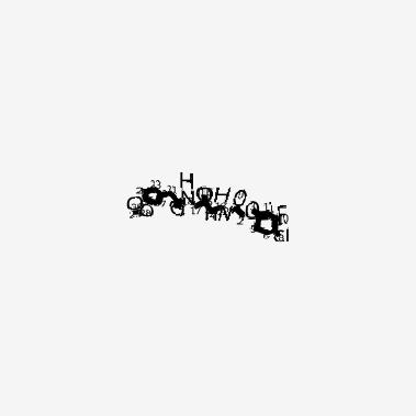 O=C(COc1ccc(Cl)c(F)c1)NCCC(O)CNC(=O)Cc1ccc2c(c1)OCO2